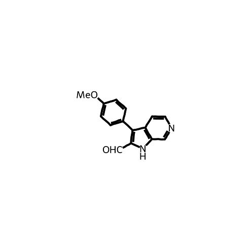 COc1ccc(-c2c(C=O)[nH]c3cnccc23)cc1